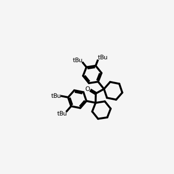 CC(C)(C)c1ccc(C2(C(=O)C3(c4ccc(C(C)(C)C)c(C(C)(C)C)c4)CCCCC3)CCCCC2)cc1C(C)(C)C